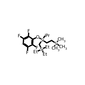 CC[Si](CC)(CC)C[Si](CC[Si](C)(C)C)(Oc1c(F)c(F)[c]c(F)c1F)C(C)C